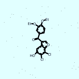 CCOc1ccc(C(=O)c2coc3c(Cl)c(Cl)c(O)cc23)cc1OCC